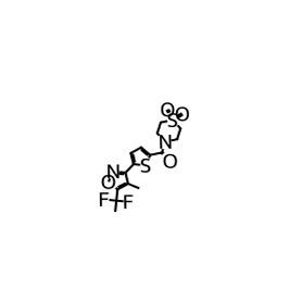 Cc1c(-c2ccc(C(=O)N3CCS(=O)(=O)CC3)s2)noc1C(C)(F)F